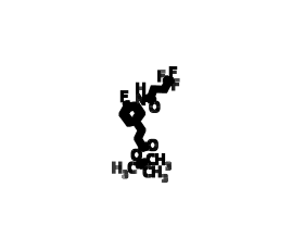 CC(C)(C)OC(=O)CCc1ccc(F)c(NC(=O)CCC(F)(F)F)c1